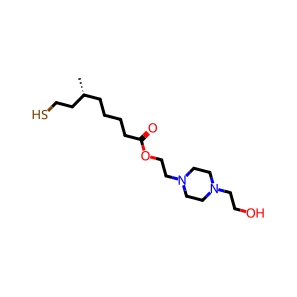 C[C@@H](CCS)CCCCC(=O)OCCN1CCN(CCO)CC1